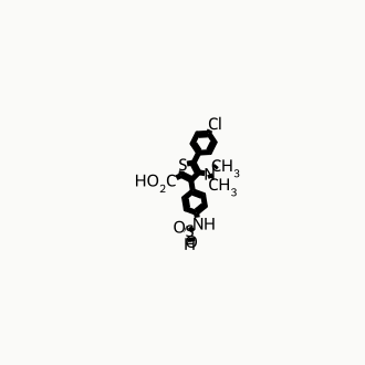 CN(C)c1c(-c2ccc(Cl)cc2)sc(C(=O)O)c1-c1ccc(N[SH](=O)=O)cc1